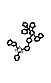 c1ccc(-c2nc(-c3cccc(-c4ccc(-c5cc6c(cc5-c5cccc7ccccc57)-c5ccccc5C6(c5ccccc5)c5ccccc5)cc4)c3)nc(-c3ccc4ccccc4c3)n2)cc1